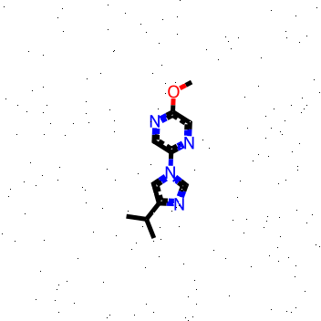 COc1cnc(-n2cnc(C(C)C)c2)cn1